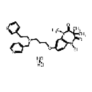 CCN1C(=O)C(C)(C)C(=O)N(C)c2cc(OCCCN(CCc3cccnc3)Cc3cccnc3)ccc21.Cl.Cl.Cl